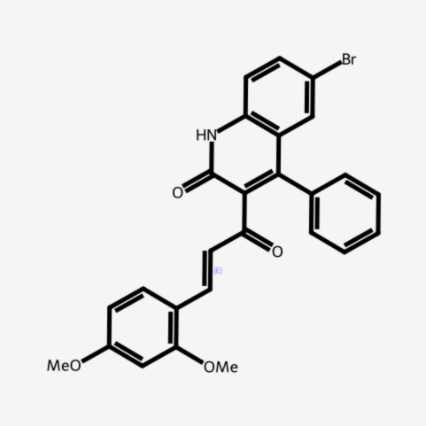 COc1ccc(/C=C/C(=O)c2c(-c3ccccc3)c3cc(Br)ccc3[nH]c2=O)c(OC)c1